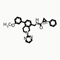 COc1cccc(-c2ccc(CNC(=O)[C@H]3C[C@H]3c3ccccc3)c3c2CCN(c2ncccn2)C3)c1